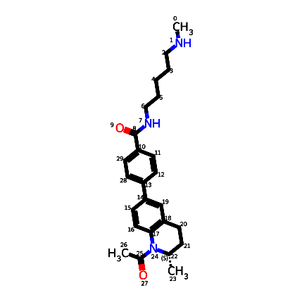 CNCCCCCNC(=O)c1ccc(-c2ccc3c(c2)CC[C@H](C)N3C(C)=O)cc1